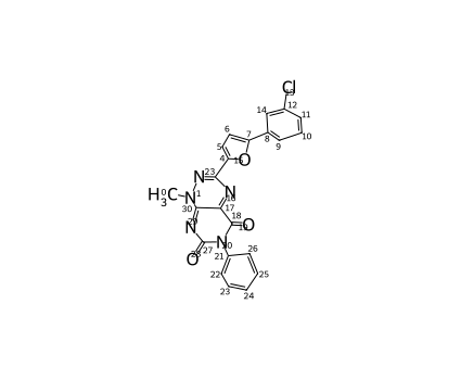 Cn1nc(-c2ccc(-c3cccc(Cl)c3)o2)nc2c(=O)n(-c3ccccc3)c(=O)nc1-2